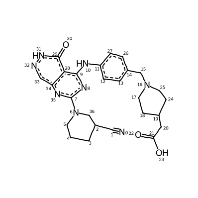 N#CC1CCCN(c2nc(Nc3ccc(CN4CCC(CC(=O)O)CC4)cc3)c3c(=O)[nH]ncc3n2)C1